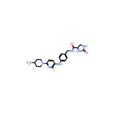 O=C1NCC(C(=O)NCc2ccc(Nc3ccc(N4CCC(C(F)(F)F)CC4)nc3F)cc2)N1